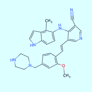 COc1cc(CN2CCNCC2)ccc1C=Cc1cncc(C#N)c1Nc1ccc2[nH]ccc2c1C